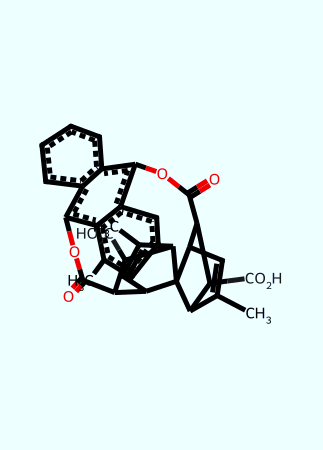 CC1=CC2C3C(=O)Oc4c5ccccc5c(c5c(C)cccc45)OC(=O)C4C(C(=O)O)C5C(C)=CC4C25C1C3C(=O)O